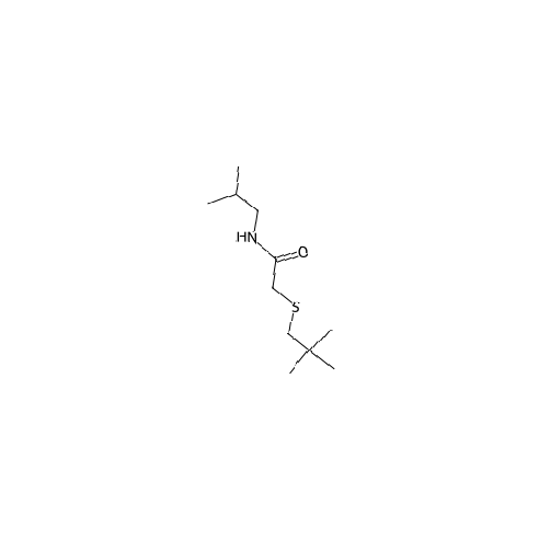 CC(C)CNC(=O)CSCC(C)(C)C